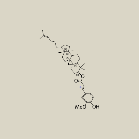 COc1cc(/C=C/C(=O)O[C@H]2CC[C@]34C[C@]35CC[C@]3(C)C(CCCC=C(C)C)CC[C@@]3(C)C5CCC4C2(C)C)ccc1O